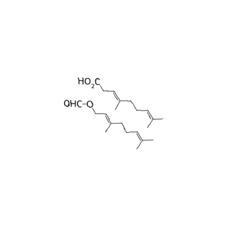 CC(C)=CCC/C(C)=C/CC(=O)O.CC(C)=CCC/C(C)=C/COC=O